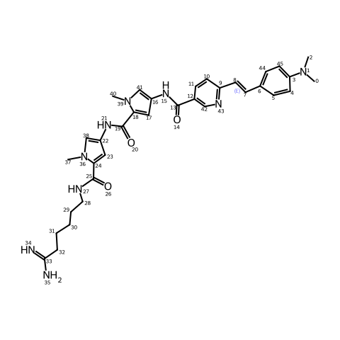 CN(C)c1ccc(/C=C/c2ccc(C(=O)Nc3cc(C(=O)Nc4cc(C(=O)NCCCCCC(=N)N)n(C)c4)n(C)c3)cn2)cc1